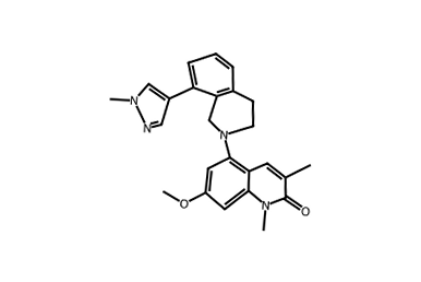 COc1cc(N2CCc3cccc(-c4cnn(C)c4)c3C2)c2cc(C)c(=O)n(C)c2c1